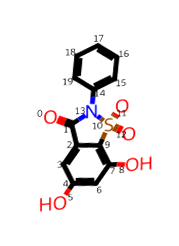 O=C1c2cc(O)cc(O)c2S(=O)(=O)N1c1ccccc1